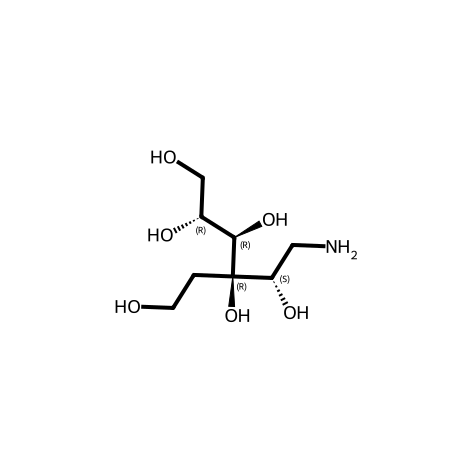 NC[C@H](O)[C@](O)(CCO)[C@H](O)[C@H](O)CO